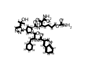 CC(C)(O)c1cnnn1[C@H]1C[C@@H](C(=O)NC(CCCCOC(N)=O)C(=O)C(N)=O)N(C(=O)C(CC2CCCCC2)NC(=O)c2cnc3ccccc3c2)C1